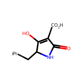 CC(C)CC1NC(=O)C(C(=O)O)=C1O